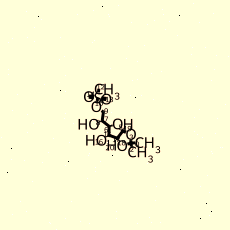 CC1(C)O[C@H]2O[C@H]([C@H](O)COS(C)(=O)=O)[C@@H](O)[C@H]2O1